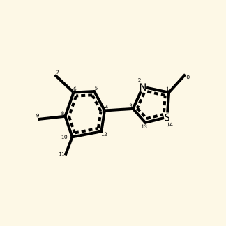 Cc1nc(-c2cc(C)c(C)c(C)c2)cs1